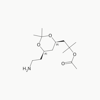 CC(=O)OC(C)(C)C[C@H]1C[C@@H](CCN)OC(C)(C)O1